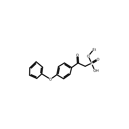 CCOP(=O)(O)CC(=O)c1ccc(Oc2ccccc2)cc1